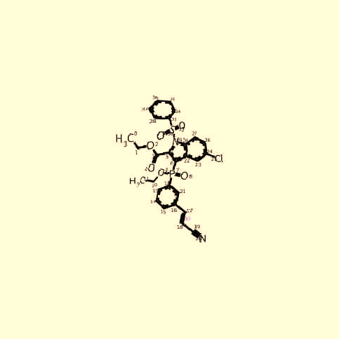 CCOC(=O)c1c(P(=O)(OCC)c2cccc(/C=C/C#N)c2)c2cc(Cl)ccc2n1S(=O)(=O)c1ccccc1